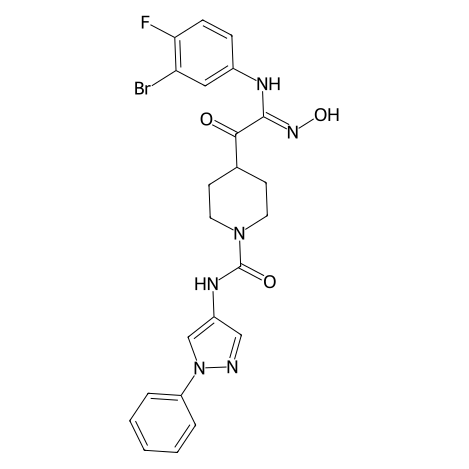 O=C(/C(=N/O)Nc1ccc(F)c(Br)c1)C1CCN(C(=O)Nc2cnn(-c3ccccc3)c2)CC1